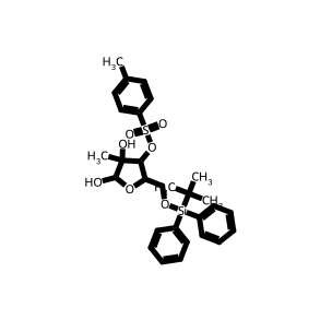 Cc1ccc(S(=O)(=O)OC2C(CO[Si](c3ccccc3)(c3ccccc3)C(C)(C)C)OC(O)C2(C)O)cc1